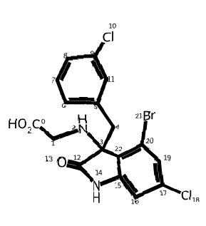 O=C(O)CNC1(Cc2cccc(Cl)c2)C(=O)Nc2cc(Cl)cc(Br)c21